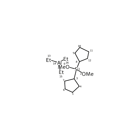 CO[Si](OC)(C1CCCC1)C1CCCC1.C[CH2][Al]([CH2]C)[CH2]C